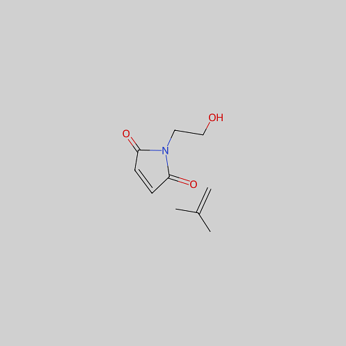 C=C(C)C.O=C1C=CC(=O)N1CCO